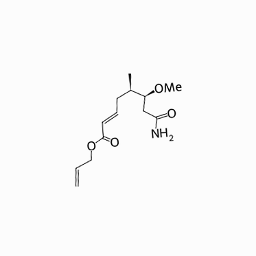 C=CCOC(=O)/C=C/C[C@@H](C)[C@H](CC(N)=O)OC